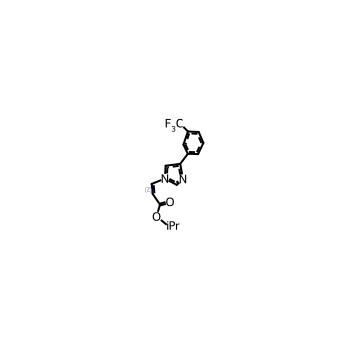 CC(C)OC(=O)/C=C\n1cnc(-c2cccc(C(F)(F)F)c2)c1